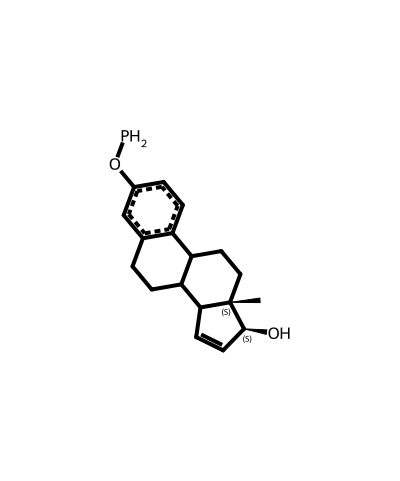 C[C@]12CCC3c4ccc(OP)cc4CCC3C1C=C[C@@H]2O